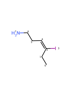 CC/C(I)=C\CCN